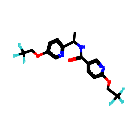 CC(NC(=O)c1ccc(OCC(F)(F)F)nc1)c1ccc(OCC(F)(F)F)cn1